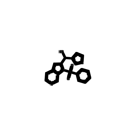 O=S(=O)(c1ccccc1)n1c(C(O)c2ccsc2)cc2ccncc21